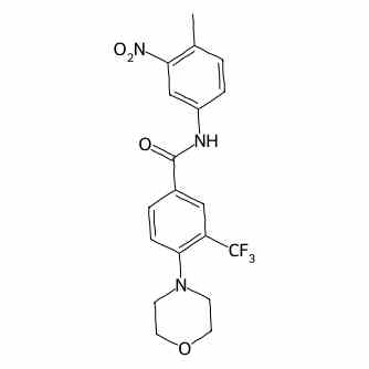 Cc1ccc(NC(=O)c2ccc(N3CCOCC3)c(C(F)(F)F)c2)cc1[N+](=O)[O-]